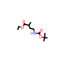 CCOC(=O)C(C)CCNC(=O)OC(C)(C)C